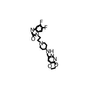 O=c1cnc2cc(F)c(F)cc2n1CCN1CCC(NCc2cc3c(nn2)OCCO3)CC1